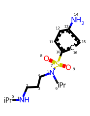 CC(C)NCCCN(C(C)C)S(=O)(=O)c1ccc(N)cc1